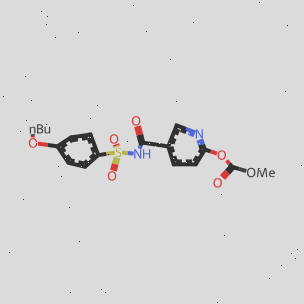 CCCCOc1ccc(S(=O)(=O)NC(=O)c2ccc(OC(=O)OC)nc2)cc1